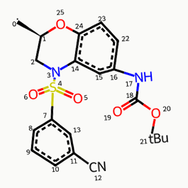 [CH2][C@@H]1CN(S(=O)(=O)c2cccc(C#N)c2)c2cc(NC(=O)OC(C)(C)C)ccc2O1